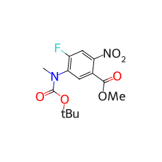 COC(=O)c1cc(N(C)C(=O)OC(C)(C)C)c(F)cc1[N+](=O)[O-]